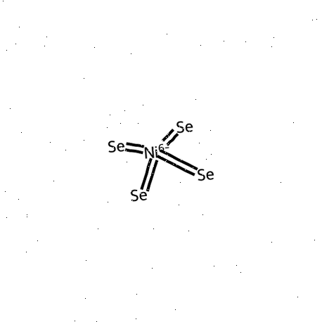 [Se]=[Ni-6](=[Se])(=[Se])=[Se]